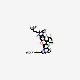 CN1c2cc3c(cc2C2=C(CCS2)C1(C)CCCCCC(=O)O)C(c1c(F)c(F)cc(F)c1S(=O)(=O)O)=c1cc2c(cc1O3)=[N+](C)C(C)(CCCCCC(=O)O)c1ccsc1-2